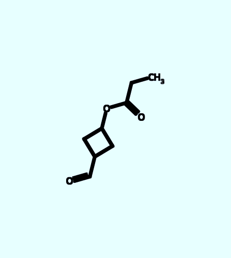 CCC(=O)OC1CC(C=O)C1